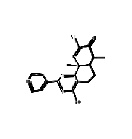 CC1C(=O)C(C#N)=C[C@@]2(C)c3nc(-c4ccncc4)nc(O)c3CCC12